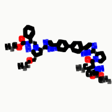 COC[C@H]1C[C@@H](c2ncc(-c3ccc(-c4ccc(-c5cnc([C@@H]6CCCN6C(=O)[C@@H](NC(=O)OC)C(C)C)[nH]5)cc4)cc3)[nH]2)N(C[C@H](NC(=O)OC)c2ccccc2)C1